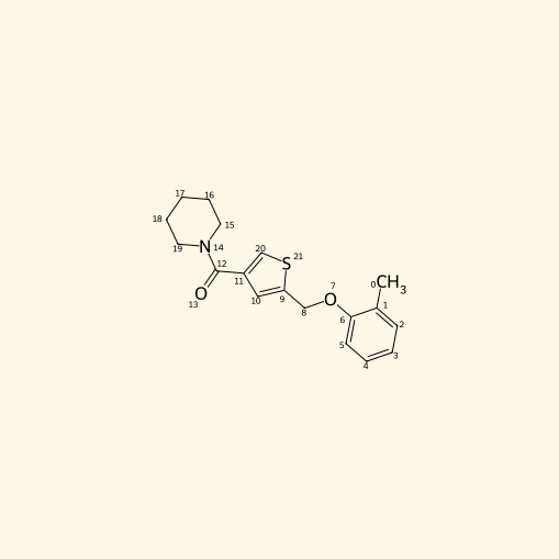 Cc1ccccc1OCc1cc(C(=O)N2CCCCC2)cs1